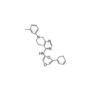 Cc1cccc(N2CCc3c(ncnc3NC3=COC=C(C4=CC=CCC4)O3)C2)c1